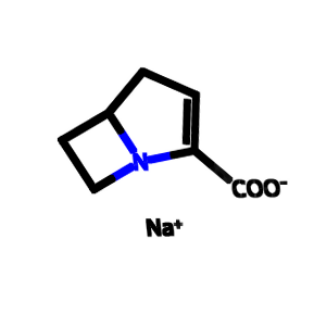 O=C([O-])C1=CCC2CCN12.[Na+]